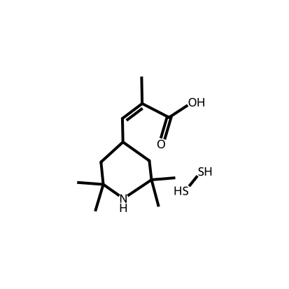 CC(=CC1CC(C)(C)NC(C)(C)C1)C(=O)O.SS